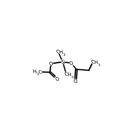 CCC(=O)O[Si](C)(C)OC(C)=O